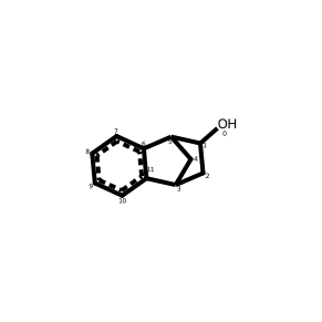 OC1CC2CC1c1ccccc12